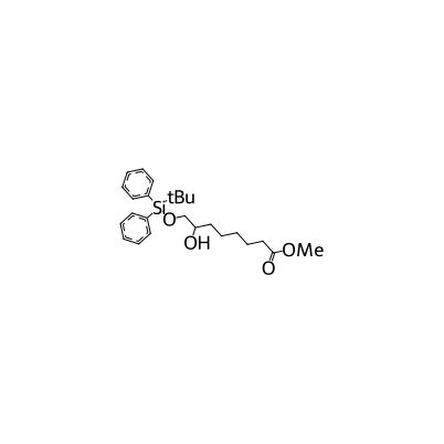 COC(=O)CCCCCC(O)CO[Si](c1ccccc1)(c1ccccc1)C(C)(C)C